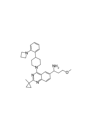 COCCC(N)c1ccc2nc(C3(C)CC3)nc(N3CCC(c4ccccc4N4CCC4)CC3)c2c1